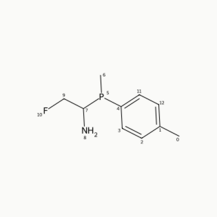 Cc1ccc(P(C)C(N)CF)cc1